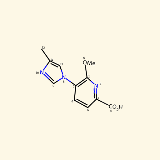 COc1nc(C(=O)O)ccc1-n1cnc(C)c1